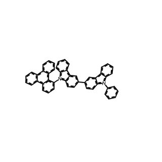 c1ccc(-n2c3ccccc3c3cc(-c4ccc5c(c4)c4ccccc4n5-c4cccc5c6ccccc6c6ccccc6c45)ccc32)cc1